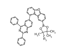 CC1(C)OB(c2ccc3oc4cccc(-c5ccc6nc(-c7ccccc7)nc(-c7ccccc7)c6c5)c4c3c2)OC1(C)C